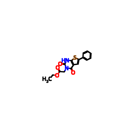 CCOC(=O)Cn1c(=O)[nH]c2sc(-c3ccccc3)cc2c1=O